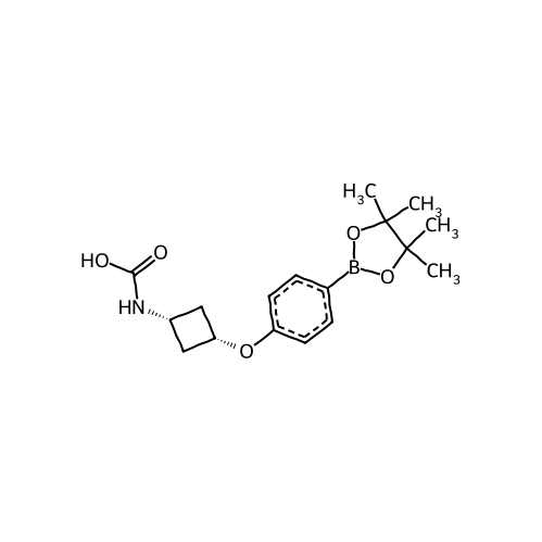 CC1(C)OB(c2ccc(O[C@H]3C[C@@H](NC(=O)O)C3)cc2)OC1(C)C